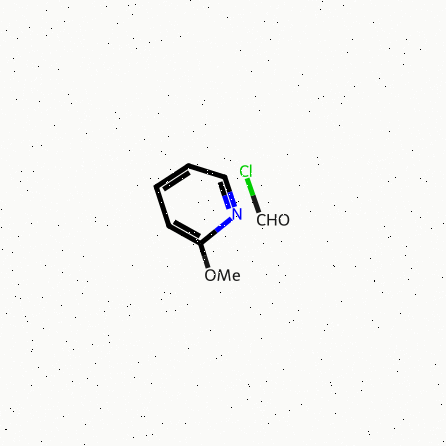 COc1ccccn1.O=CCl